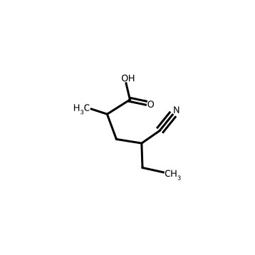 CCC(C#N)CC(C)C(=O)O